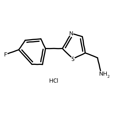 Cl.NCc1cnc(-c2ccc(F)cc2)s1